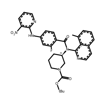 Cc1cccc2ccnc(N(C(=O)c3ccc(Nc4ncccc4[N+](=O)[O-])cc3F)[C@@H]3CCCN(C(=O)OC(C)(C)C)C3)c12